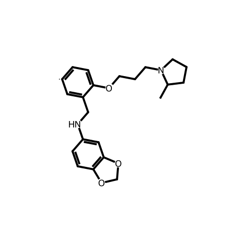 CC1CCCN1CCCOc1cc[c]cc1CNc1ccc2c(c1)OCO2